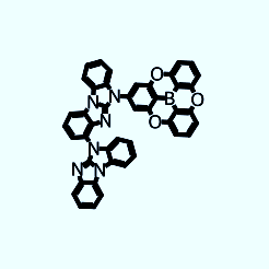 c1cc2c3c(c1)Oc1cc(-n4c5ccccc5n5c6cccc(-n7c8ccccc8n8c9ccccc9nc78)c6nc45)cc4c1B3c1c(cccc1O4)O2